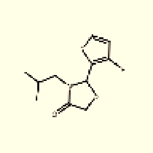 CC(C)CN1C(=O)CSC1c1sccc1Br